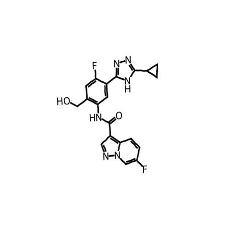 O=C(Nc1cc(-c2nnc(C3CC3)[nH]2)c(F)cc1CO)c1cnn2cc(F)ccc12